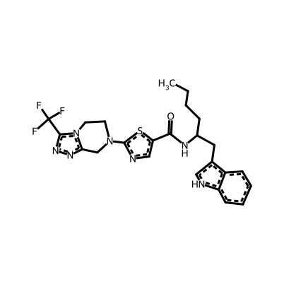 CCCCC(Cc1c[nH]c2ccccc12)NC(=O)c1cnc(N2CCn3c(nnc3C(F)(F)F)C2)s1